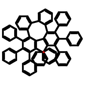 c1ccc(-c2c(-c3ccccc3)c(-c3ccccc3)c3c(c2-c2ccccc2)-c2ccccc2-c2ccccc2-c2c(-c4ccccc4)c(-c4ccccc4)c(-c4ccccc4)c(-c4ccccc4)c2-3)cc1